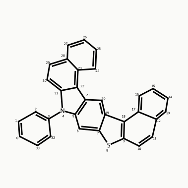 c1ccc(-n2c3cc4sc5ccc6ccccc6c5c4cc3c3c4ccccc4ccc32)cc1